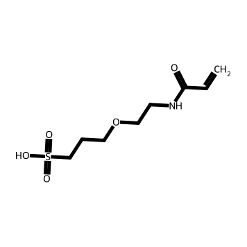 C=CC(=O)NCCOCCCS(=O)(=O)O